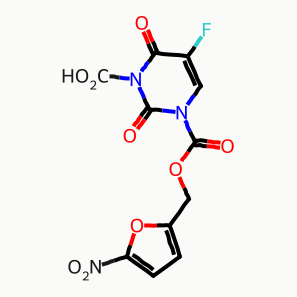 O=C(OCc1ccc([N+](=O)[O-])o1)n1cc(F)c(=O)n(C(=O)O)c1=O